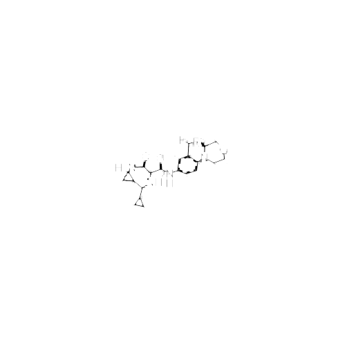 NC(=O)[C@H](NC(C1CC1)C1CC1)C(=O)Nc1ccc(N2CCOCC2=O)c(C(F)F)c1